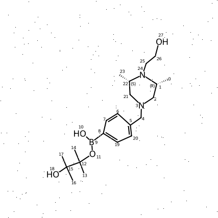 C[C@@H]1CN(Cc2ccc(B(O)OC(C)(C)C(C)(C)O)cc2)C[C@H](C)N1CCO